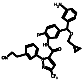 Nc1cccc(C(OCC2CC2)c2ccc(F)c(NC(=O)c3cc(C(F)(F)F)nn3-c3cccc(CCN=O)c3)c2)c1